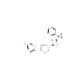 Cn1c(N2CCC(Oc3ncc(Cl)cc3Cl)CC2)nnc1C1(c2ccc(F)cc2)CC1